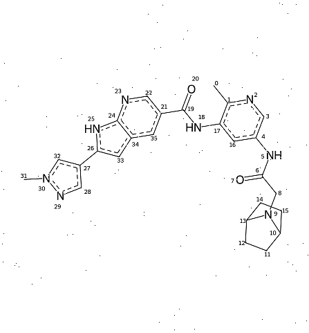 Cc1ncc(NC(=O)CN2C3CCC2CC3)cc1NC(=O)c1cnc2[nH]c(-c3cnn(C)c3)cc2c1